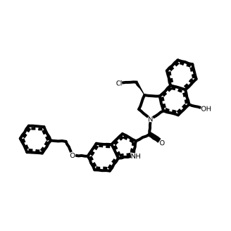 O=C(c1cc2cc(OCc3ccccc3)ccc2[nH]1)N1C[C@@H](CCl)c2c1cc(O)c1ccccc21